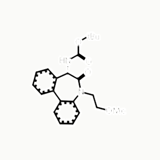 COCCN1C(=O)[C@@H](NC(=O)OC(C)(C)C)c2ccccc2-c2ccccc21